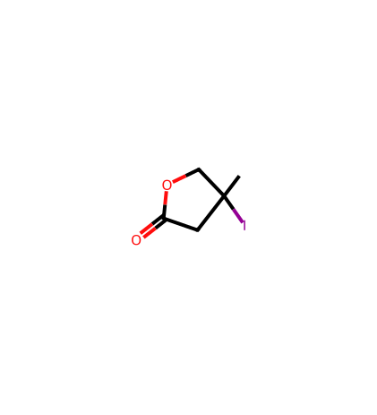 CC1(I)COC(=O)C1